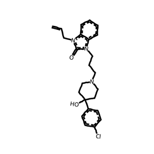 C=CCn1c(=O)n(CCCN2CCC(O)(c3ccc(Cl)cc3)CC2)c2ccccc21